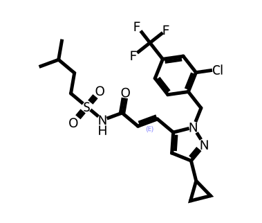 CC(C)CCS(=O)(=O)NC(=O)/C=C/c1cc(C2CC2)nn1Cc1ccc(C(F)(F)F)cc1Cl